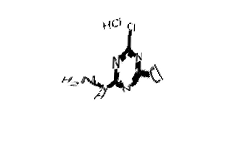 Cl.NNc1nc(Cl)nc(Cl)n1